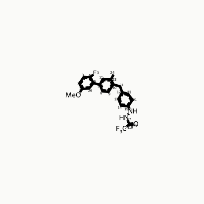 COc1ccc(F)c(-c2ccc(Cc3ccc(NNC(=O)C(F)(F)F)cc3)c(C)c2)c1